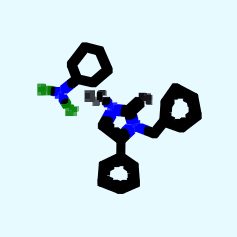 BrN(Br)C1CCCCC1.Cn1cc(-c2ccccc2)n(Cc2ccccc2)[c]1=[Pt]